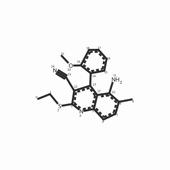 CCSc1nc2ccc(C)c(N)c2c(-c2ccccc2OC)c1C#N